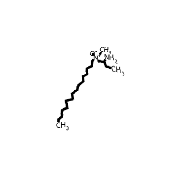 CCCCCCCCCCCCCCCC[N+]([O-])(CC)CC(N)CC